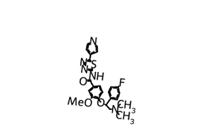 COc1cc(C(=O)Nc2nnc(-c3ccncc3)s2)ccc1OC(CN(C)C)c1ccc(F)cc1